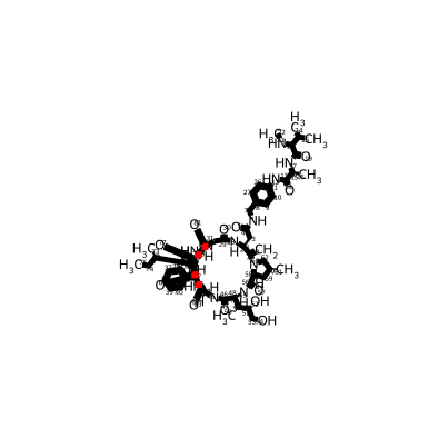 C=C1[C@H](CC(=O)NCc2ccc(NC(=O)[C@H](C)NC(=O)C(NC)C(C)C)cc2)NC(=O)C2CSc3[nH]c4ccccc4c3C[C@H](NC(=O)[C@H]([C@@H](C)[C@@H](O)CO)NC(=O)[C@@H]3C[C@@H](C)CN13)C(=O)NCC(=O)N[C@@H]([C@@H](C)CC)C(=O)NCC(=O)N2